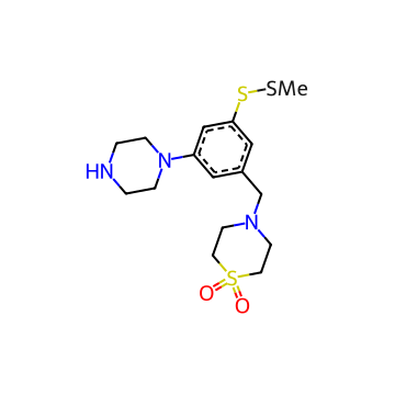 CSSc1cc(CN2CCS(=O)(=O)CC2)cc(N2CCNCC2)c1